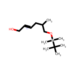 CC(C/C=C/CO)CO[Si](C)(C)C(C)(C)C